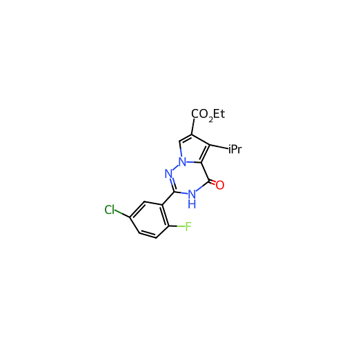 CCOC(=O)c1cn2nc(-c3cc(Cl)ccc3F)[nH]c(=O)c2c1C(C)C